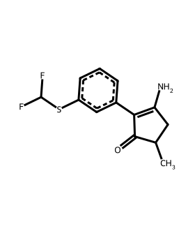 CC1CC(N)=C(c2cccc(SC(F)F)c2)C1=O